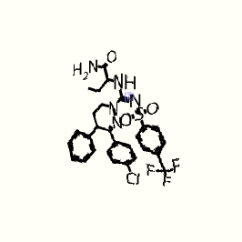 CCC(N/C(=N/S(=O)(=O)c1ccc(C(F)(F)F)cc1)N1CCC(c2ccccc2)C(c2ccc(Cl)cc2)=N1)C(N)=O